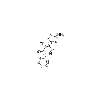 N[C@@H]1CCN(C2=C(Cl)C(=O)C(C3CCCCO3)N=C2)C1